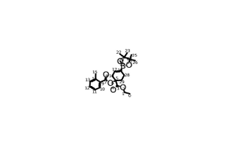 CCOC(=O)C1(OC(=O)c2ccccc2C)CC=C(B2OC(C)(C)C(C)(C)O2)CC1